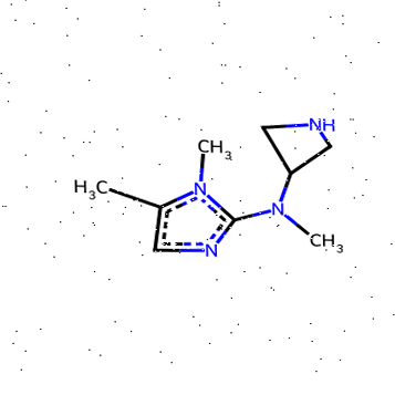 Cc1cnc(N(C)C2CNC2)n1C